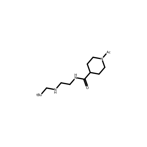 CC(=O)N1CCC(C(=O)NCCNCC(C)(C)C)CC1